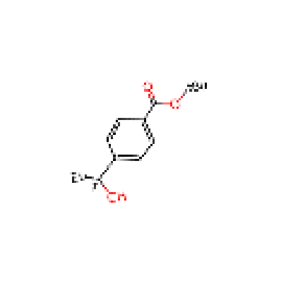 CC[C@H](O)c1ccc(C(=O)OC(C)(C)C)cc1